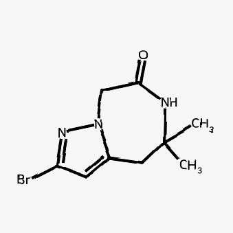 CC1(C)Cc2cc(Br)nn2CC(=O)N1